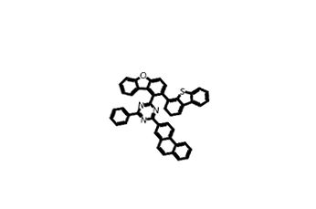 C1=c2c(sc3ccccc23)=C(c2ccc3oc4ccccc4c3c2-c2nc(-c3ccccc3)nc(-c3ccc4c(ccc5ccccc54)c3)n2)CC1